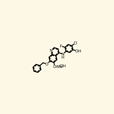 COc1cc2c(Nc3cc(O)c(Cl)cc3F)ccnc2cc1OCc1ccccc1.Cl